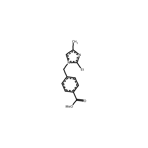 CCc1nc(C)cn1Cc1ccc(C(=O)OC)cc1